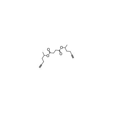 C#CCCC(C)OC(=O)CCC(=O)OC(C)CCC#C